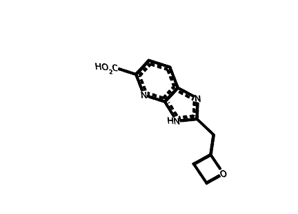 O=C(O)c1ccc2nc(CC3CCO3)[nH]c2n1